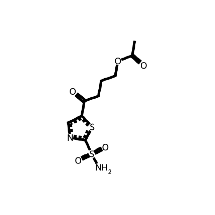 CC(=O)OCCCC(=O)c1cnc(S(N)(=O)=O)s1